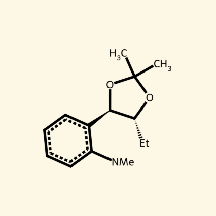 [CH2]C[C@H]1OC(C)(C)O[C@@H]1c1ccccc1NC